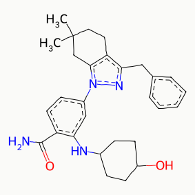 CC1(C)CCc2c(Cc3ccccc3)nn(-c3ccc(C(N)=O)c(NC4CCC(O)CC4)c3)c2C1